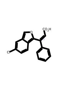 O=C(O)/C=C(/c1ccccc1)c1occ2cc(Cl)ccc12